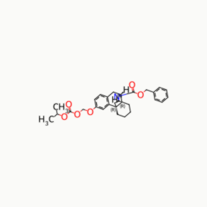 CC(C)OC(=O)OCOc1ccc2c(c1)[C@@]13CCCC[C@H]1[C@@H](C2)N(C(=O)OCc1ccccc1)CC3